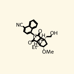 CC[C@]12O[C@](CCO)(C[C@@H]1OC)[C@H]1C(=O)N(c3ccc(C#N)c4ccccc34)C(=O)[C@H]12